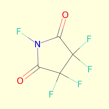 O=C1N(F)C(=O)C(F)(F)C1(F)F